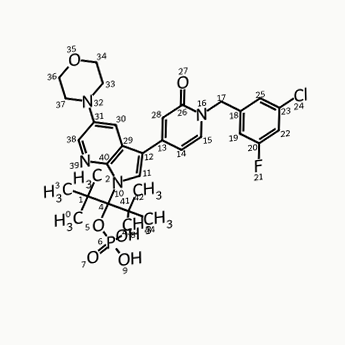 CC(C)(C)C(OP(=O)(O)O)(n1cc(-c2ccn(Cc3cc(F)cc(Cl)c3)c(=O)c2)c2cc(N3CCOCC3)cnc21)C(C)(C)C